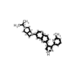 Cc1cccc(-c2n[nH]cc2-c2ccc3ncc(N4CC5CN(C(C)C)CC54)cc3n2)n1